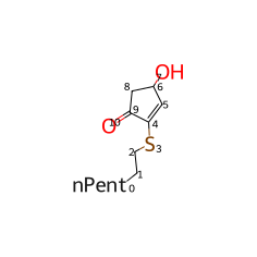 CCCCCCCSC1=CC(O)CC1=O